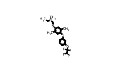 CCN(C)C=Nc1cc(C)c(Sc2cccc(OC(F)(F)C(F)F)c2)cc1C